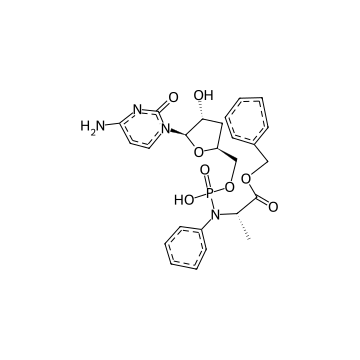 C[C@@H](C(=O)OCc1ccccc1)N(c1ccccc1)P(=O)(O)OC[C@@H]1C[C@@H](O)[C@H](n2ccc(N)nc2=O)O1